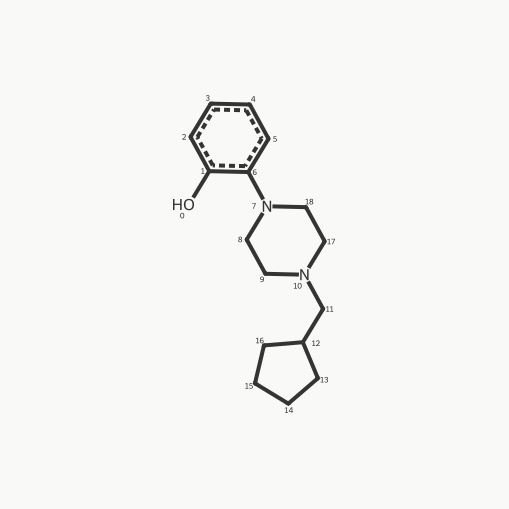 Oc1ccccc1N1CCN(CC2CCCC2)CC1